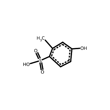 Cc1cc(O)ccc1S(=O)(=O)O